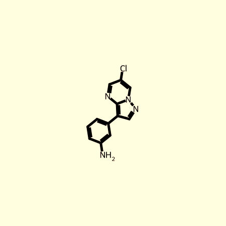 Nc1cccc(-c2cnn3cc(Cl)cnc23)c1